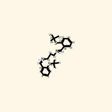 CC(C)(C)Sc1ccccc1/C=N\CCC/N=C/c1ccccc1SC(C)(C)C